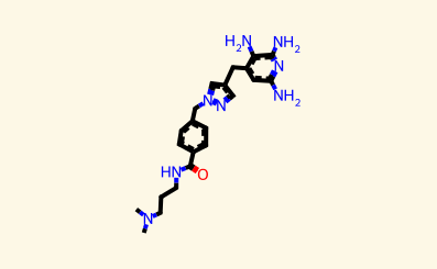 CN(C)CCCNC(=O)c1ccc(Cn2cc(Cc3cc(N)nc(N)c3N)cn2)cc1